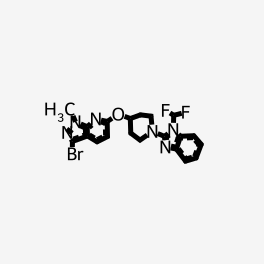 Cn1nc(Br)c2ccc(OC3CCN(c4nc5ccccc5n4C(F)F)CC3)nc21